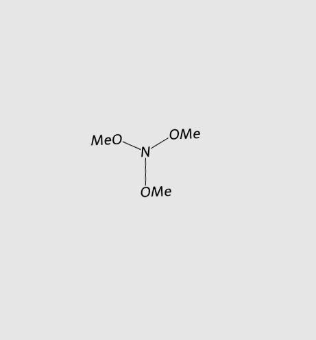 CON(OC)OC